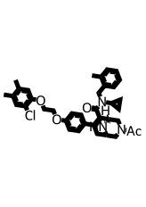 CC(=O)N1CC2CC(c3ccc(OCCOc4cc(C)c(C)cc4Cl)cc3)=C(C(=O)N(Cc3ccccc3C)C3CC3)[C@@H](C1)N2